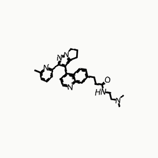 Cc1cccc(-c2nn3c(c2-c2ccnc4cc(CCC(=O)NCCN(C)C)ccc24)CCC3)n1